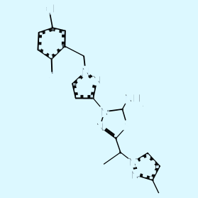 Cc1ccn(C(C)C2=NN(c3ccn(Cc4cc(Cl)ccc4Cl)n3)C(N)S2)n1